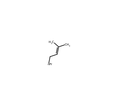 C[CH]CCC=C(C)C